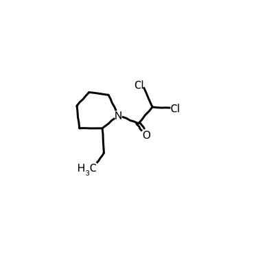 CCC1CCCCN1C(=O)C(Cl)Cl